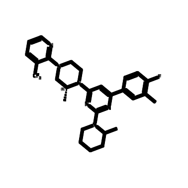 Cc1cc(-c2cc(N3CCN(c4ncccc4C(F)(F)F)C[C@H]3C)nc(N3CCCCC3C)n2)ccc1F